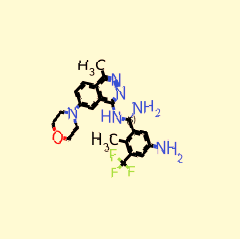 Cc1c([C@@H](N)Nc2nnc(C)c3ccc(N4CCOCC4)cc23)cc(N)cc1C(F)(F)F